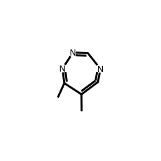 CC1=C=NC=NN=C1C